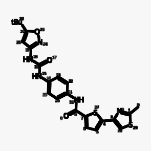 Cc1nc(-c2ccc(C(=O)Nc3ccc(NC(=O)Nc4cc(C(C)(C)C)on4)cc3)s2)cs1